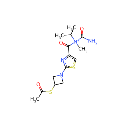 CC(=O)SC1CN(c2nc(C(=O)[N+](C)(C(N)=O)C(C)C)cs2)C1